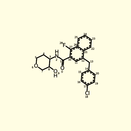 O=C(NC1CCOCC1O)c1cc(Cc2ccc(Cl)cc2)c2ccccc2c1F